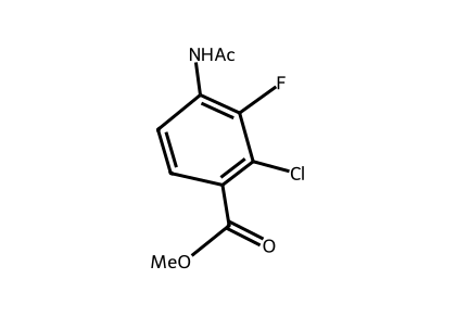 COC(=O)c1ccc(NC(C)=O)c(F)c1Cl